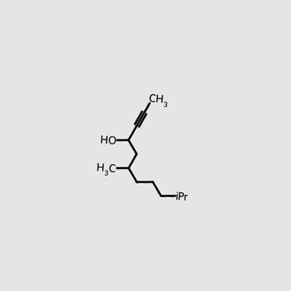 CC#CC(O)CC(C)CCCC(C)C